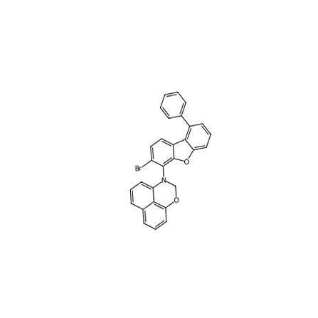 Brc1ccc2c(oc3cccc(-c4ccccc4)c32)c1N1COc2cccc3cccc1c23